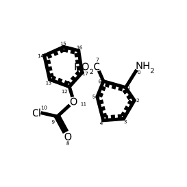 Nc1ccccc1C(=O)O.O=C(Cl)Oc1ccccc1